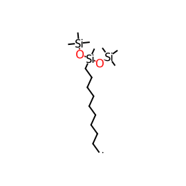 [CH2]CCCCCCCCC[Si](C)(O[Si](C)(C)C)O[Si](C)(C)C